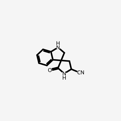 N#CC1CC2(CNc3ccccc32)C(=O)N1